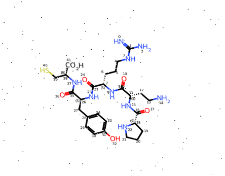 N=C(N)NCCC[C@H](NC(=O)[C@H](CCN)NC(=O)[C@@H]1CCCN1)C(=O)N[C@@H](Cc1ccc(O)cc1)C(=O)N[C@@H](CS)C(=O)O